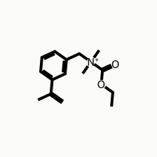 C=C(C)c1cccc(C[N+](C)(C)C(=O)OCC)c1